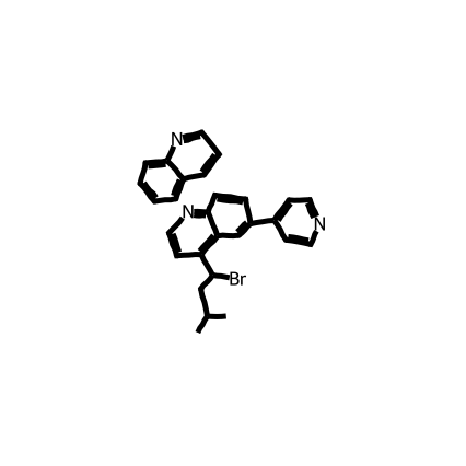 CC(C)CC(Br)c1ccnc2ccc(-c3ccncc3)cc12.c1ccc2ncccc2c1